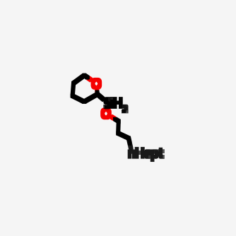 CCCCCCCCCCO[SiH2]C1CCCCO1